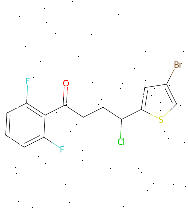 O=C(CCC(Cl)c1cc(Br)cs1)c1c(F)cccc1F